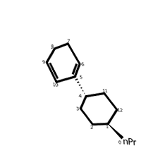 CCC[C@H]1CC[C@H](C2=CC[CH]C=C2)CC1